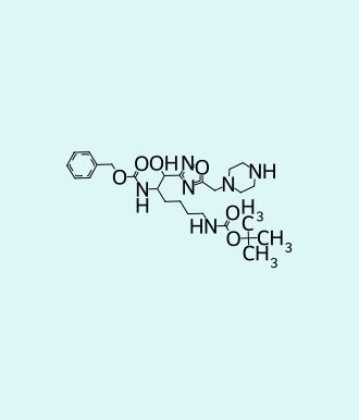 CC(C)(C)OC(=O)NCCCCC(NC(=O)OCc1ccccc1)C(O)c1noc(CN2CCNCC2)n1